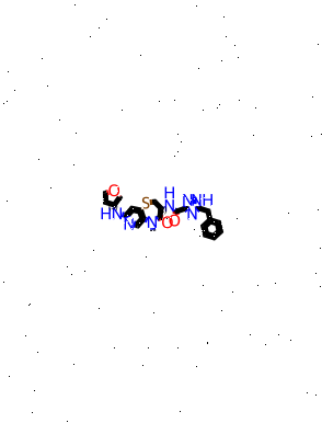 CN1C(=O)[C@@H](NC(=O)c2n[nH]c(Cc3ccccc3)n2)CSc2cc(N[C@H]3CCOC3)ncc21